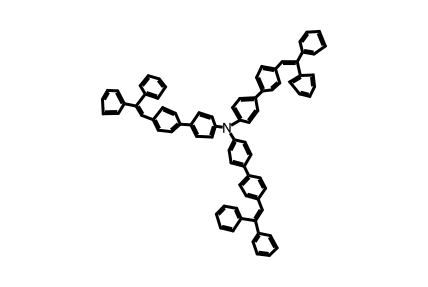 C(=C(c1ccccc1)c1ccccc1)c1ccc(-c2ccc(N(c3ccc(-c4ccc(C=C(c5ccccc5)c5ccccc5)cc4)cc3)c3ccc(-c4ccc(C=C(c5ccccc5)c5ccccc5)cc4)cc3)cc2)cc1